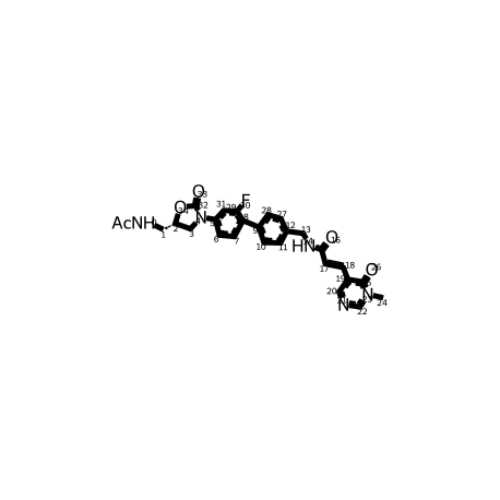 CC(=O)NC[C@H]1CN(c2ccc(-c3ccc(CNC(=O)C=Cc4cncn(C)c4=O)cc3)c(F)c2)C(=O)O1